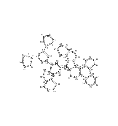 c1ccc(-c2cc(-c3ccccc3)cc(-c3nc(-n4c5ccc6c7ccccc7c7ccccc7c6c5c5ccc6ccccc6c54)nc4c3ccc3ccccc34)c2)cc1